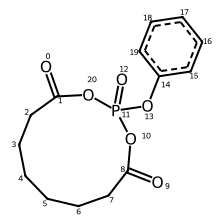 O=C1CCCCCCC(=O)OP(=O)(Oc2ccccc2)O1